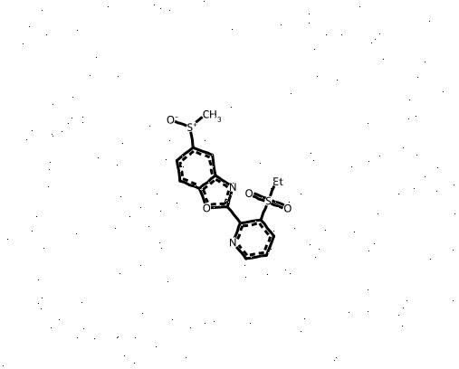 CCS(=O)(=O)c1cccnc1-c1nc2cc([S+](C)[O-])ccc2o1